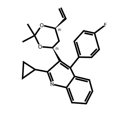 C=C[C@H]1C[C@@H](c2c(C3CC3)nc3ccccc3c2-c2ccc(F)cc2)OC(C)(C)O1